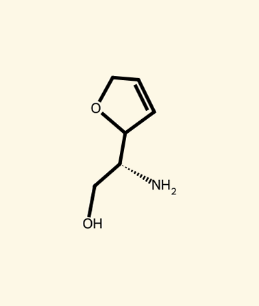 N[C@H](CO)C1C=CCO1